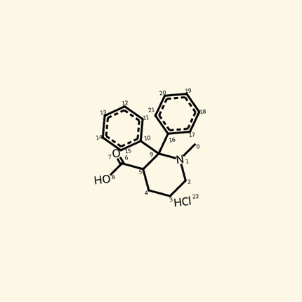 CN1CCCC(C(=O)O)C1(c1ccccc1)c1ccccc1.Cl